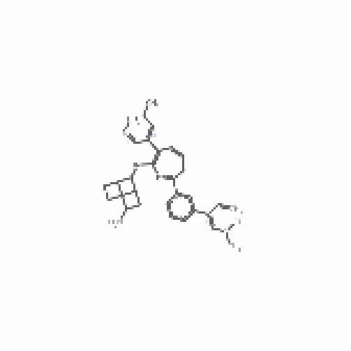 C=C/C(=C\N(C)C)c1cccc(C2=NC(NC3C4CCC45C(N)CC35)=C(C(/C=N\C)=C/CC)C=CC2)c1